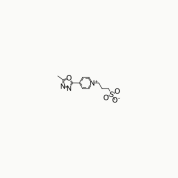 Cc1nnc(-c2cc[n+](CCCS(=O)(=O)[O-])cc2)o1